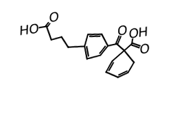 O=C(O)CCCc1ccc(C(=O)C2(C(=O)O)C=CC=CC2)cc1